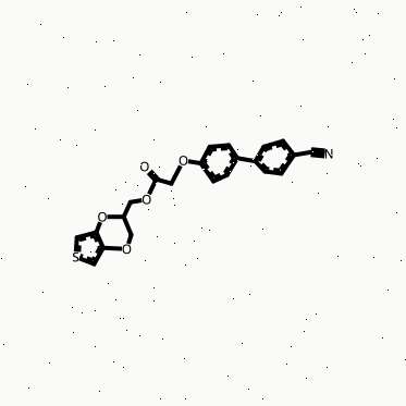 N#Cc1ccc(-c2ccc(OCC(=O)OCC3COc4cscc4O3)cc2)cc1